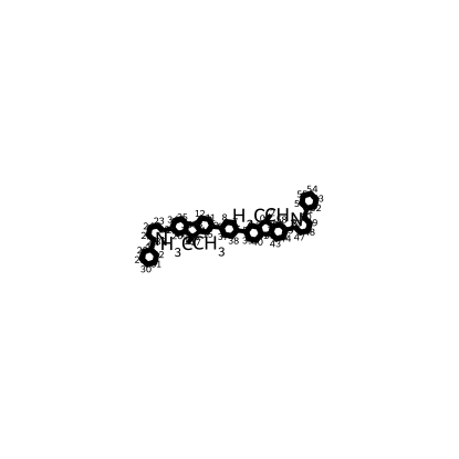 CC1(C)c2cc(-c3ccc(-c4ccc5c(c4)C(C)(C)c4cc(-c6cccc(-c7ccccc7)n6)ccc4-5)cc3)ccc2-c2ccc(-c3cccc(-c4ccccc4)n3)cc21